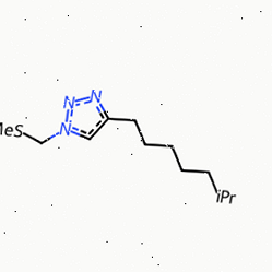 CSCn1cc(CCCCCC(C)C)nn1